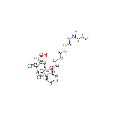 C=CCN(C)CCCCCCCCOc1ccccc1C1(Cl)C=CC(CO)=C(Cl)C1